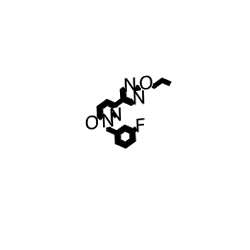 CCCOc1ncc(-c2ccc(=O)n(Cc3cccc(F)c3)n2)cn1